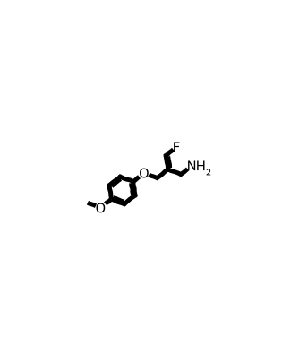 COc1ccc(OCC(=CF)CN)cc1